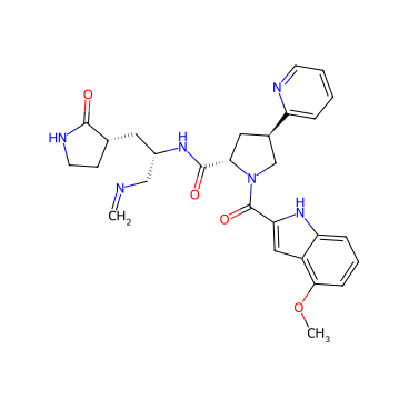 C=NC[C@H](C[C@@H]1CCNC1=O)NC(=O)[C@@H]1C[C@@H](c2ccccn2)CN1C(=O)c1cc2c(OC)cccc2[nH]1